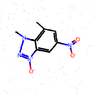 Cc1cc([N+](=O)[O-])cc2c1n(C)n[n+]2[O-]